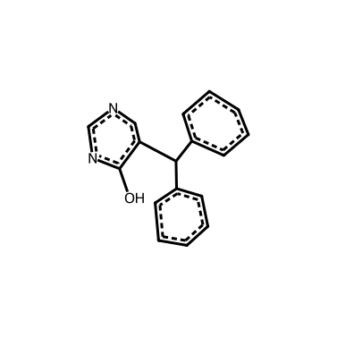 Oc1ncncc1C(c1ccccc1)c1ccccc1